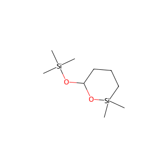 C[Si](C)(C)OC1CCC[Si](C)(C)O1